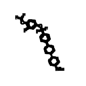 CCCC[C@H]1CC[C@H](C2CCC(c3ccc(C(F)(F)Oc4ccc(OC(F)F)c(F)c4)cc3)CC2)CC1